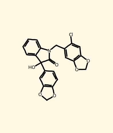 O=C1N(Cc2cc3c(cc2Cl)OCO3)c2ccccc2C1(O)c1ccc2c(c1)OCO2